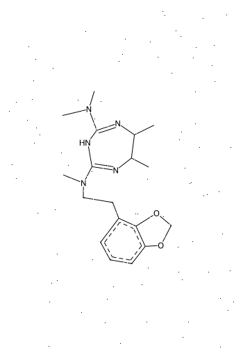 CC1N=C(N(C)C)NC(N(C)CCc2cccc3c2OCO3)=NC1C